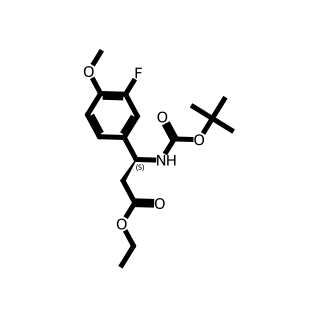 CCOC(=O)C[C@H](NC(=O)OC(C)(C)C)c1ccc(OC)c(F)c1